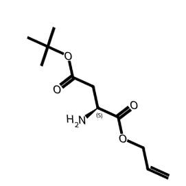 C=CCOC(=O)[C@@H](N)CC(=O)OC(C)(C)C